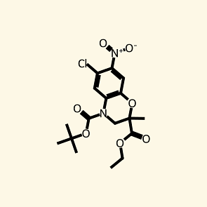 CCOC(=O)C1(C)CN(C(=O)OC(C)(C)C)c2cc(Cl)c([N+](=O)[O-])cc2O1